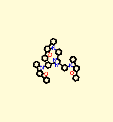 c1cc(-c2cc(-c3cccc(-n4c5ccccc5c5ccc6c7ccccc7oc6c54)c3)nc(-c3ccc(-n4c5ccccc5c5ccc6c7ccccc7oc6c54)cc3)n2)cc(-n2c3ccccc3c3ccc4c5ccccc5oc4c32)c1